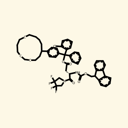 O=C(C[C@H](NC(=O)OCC1c2ccccc2-c2ccccc21)C(=O)N1CC(F)(F)C(F)(F)C1)OC(c1ccccc1)(c1ccc(C2CCCCCCCCCCCCC2)cc1)c1ccccc1Cl